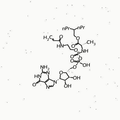 C=CC(=O)NCCOP(=O)(N[C@@H](C)C(=O)OCC(CCC)CCC)OP(=O)(O)OC[C@H]1O[C@@H](n2cnc3c(=O)[nH]c(N)nc32)[C@H](O)[C@@H]1O